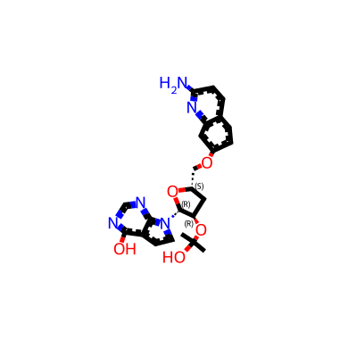 CC(C)(O)O[C@@H]1C[C@@H](COc2ccc3ccc(N)nc3c2)O[C@H]1n1ccc2c(O)ncnc21